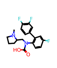 CN1CCCC1CN(C(=O)O)c1ccc(F)cc1-c1ccc(F)c(F)c1